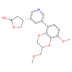 COCC1COc2c(-c3cncc([C@@H]4COB(O)C4)c3)ccc(OC)c2O1